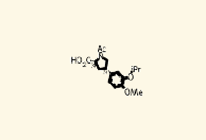 COc1ccc([C@@H]2C[C@H](C(=O)O)N(C(C)=O)C2)cc1OC(C)C